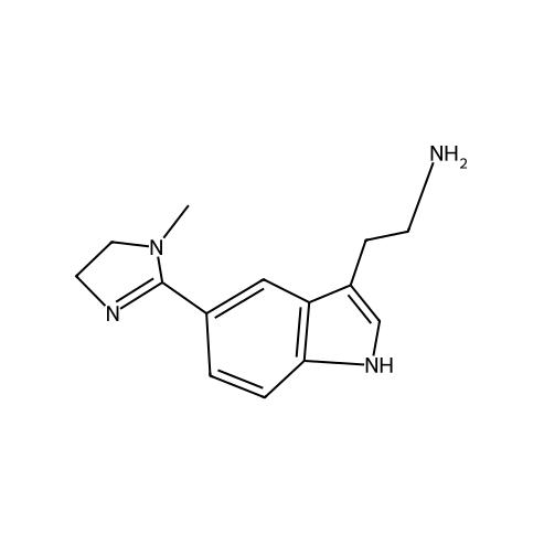 CN1CCN=C1c1ccc2[nH]cc(CCN)c2c1